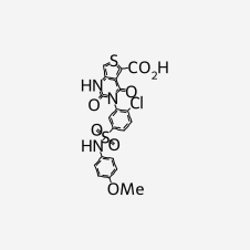 COc1ccc(NS(=O)(=O)c2ccc(Cl)c(-n3c(=O)[nH]c4csc(C(=O)O)c4c3=O)c2)cc1